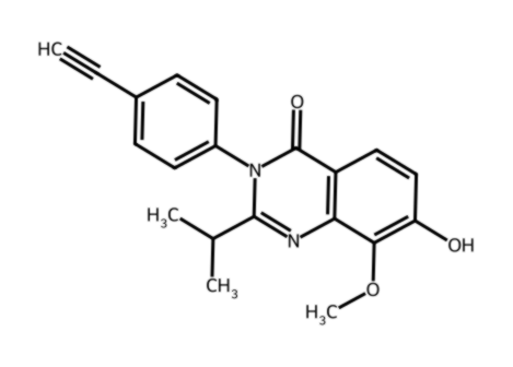 C#Cc1ccc(-n2c(C(C)C)nc3c(OC)c(O)ccc3c2=O)cc1